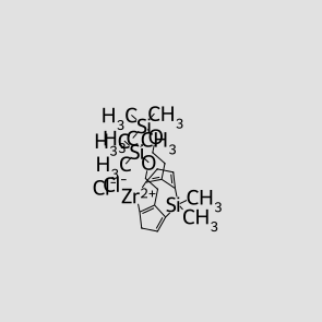 C[Si](C)(C)OCCC1=[C]2CC=C1[Si](C)(C)C1=CC[C](=C1CCO[Si](C)(C)C)[Zr+2]2.[Cl-].[Cl-]